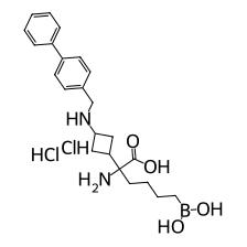 Cl.Cl.NC(CCCCB(O)O)(C(=O)O)C1CC(NCc2ccc(-c3ccccc3)cc2)C1